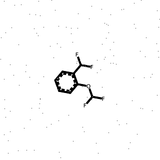 FC(F)Oc1[c]cccc1C(F)F